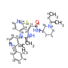 C=CC(=C)N1CCC[C@@H](NC(=O)c2sc3nccc4c3c2[nH]c(=C)n4-c2ccnc(-c3ccccc3)c2C)C1